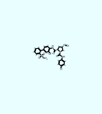 CCO[C@@H]1C[C@H](C(=O)Nc2ccc(-c3ccccc3S(N)(=O)=O)cc2F)N(C(=O)Nc2ccc(Cl)cc2)C1